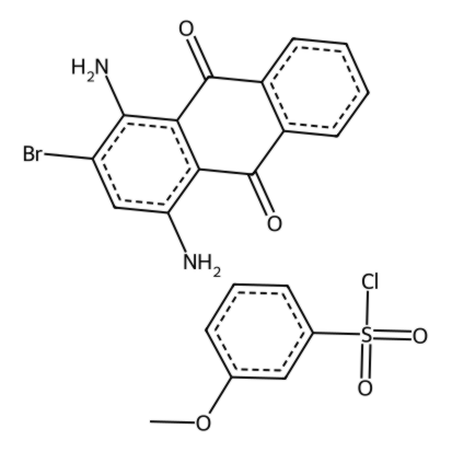 COc1cccc(S(=O)(=O)Cl)c1.Nc1cc(Br)c(N)c2c1C(=O)c1ccccc1C2=O